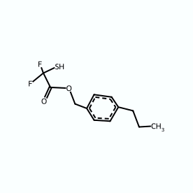 CCCc1ccc(COC(=O)C(F)(F)S)cc1